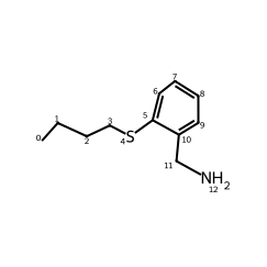 CCCCSc1ccccc1CN